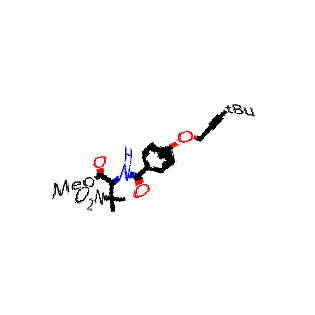 COC(=O)C(NC(=O)c1ccc(OCC#CC(C)(C)C)cc1)C(C)(C)[N+](=O)[O-]